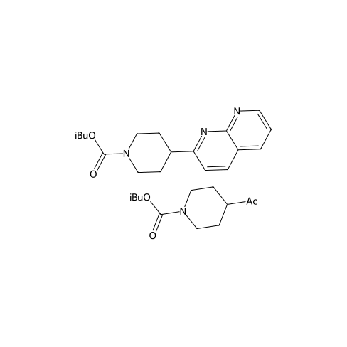 CC(=O)C1CCN(C(=O)OCC(C)C)CC1.CC(C)COC(=O)N1CCC(c2ccc3cccnc3n2)CC1